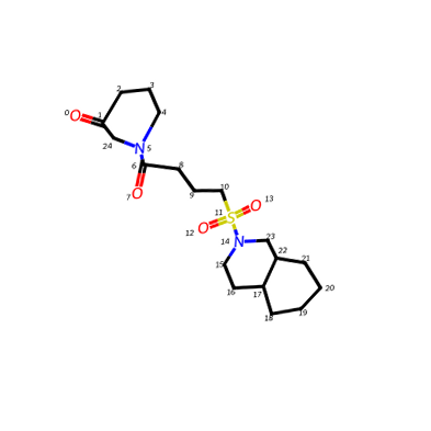 O=C1CCCN(C(=O)CCCS(=O)(=O)N2CCC3CCCCC3C2)C1